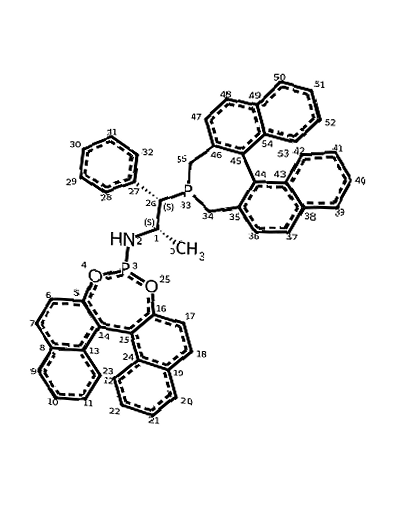 C[C@H](Np1oc2ccc3ccccc3c2c2c(ccc3ccccc32)o1)[C@H](c1ccccc1)P1Cc2ccc3ccccc3c2-c2c(ccc3ccccc23)C1